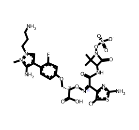 C[n+]1c(N)c(-c2ccc(OC[C@H](O/N=C(\C(=O)NC3C(=O)N(OS(=O)(=O)[O-])C3(C)C)c3nc(N)sc3Cl)C(=O)O)cc2F)cn1CCCN